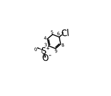 C[S@+]([O-])C1=CCC(Cl)C=C1